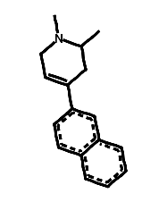 CC1CC(c2ccc3ccccc3c2)=CCN1C